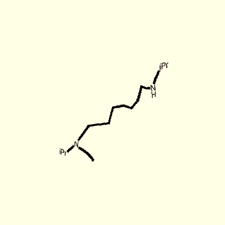 CC(C)NCCCCCN(C)C(C)C